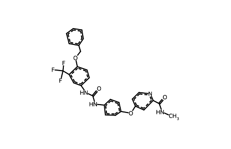 CNC(=O)c1cc(Oc2ccc(NC(=O)Nc3ccc(OCc4ccccc4)c(C(F)(F)F)c3)cc2)ccn1